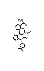 COc1nc2c(C(N)=O)cccc2cc1C(=O)N(c1ccsc1)C1C=CS(=O)(=O)C1